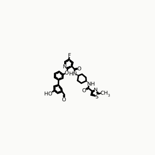 Cc1nc(C(=O)N[C@H]2CC[C@H](NC(=O)c3cc(F)cnc3Oc3cccc(-c4cc(O)cc(C=O)c4)c3)CC2)cs1